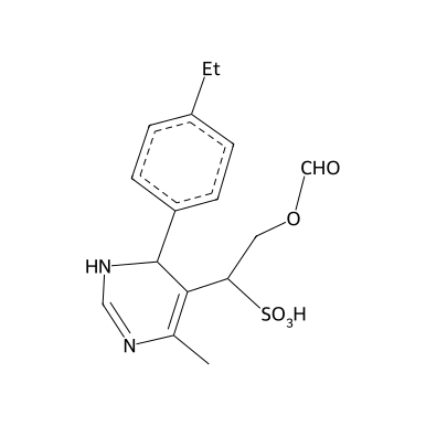 CCc1ccc(C2NC=NC(C)=C2C(COC=O)S(=O)(=O)O)cc1